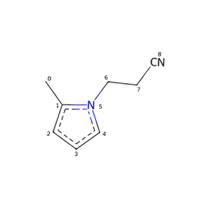 Cc1cccn1CCC#N